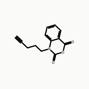 C#CCCCn1c(=O)oc(=O)c2ccccc21